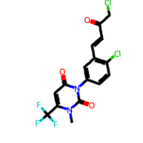 Cn1c(C(F)(F)F)cc(=O)n(-c2ccc(Cl)c(/C=C/C(=O)CCl)c2)c1=O